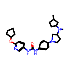 CC1CCC(N(C)C2CCN(c3ccc(NC(=O)Nc4ccc(OC5CCCC5)nc4)cc3)C2)C1